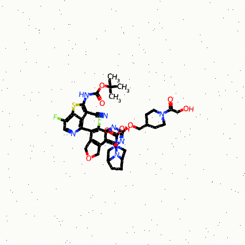 CC(C)(C)OC(=O)Nc1sc2c(F)cnc(-c3c4c(c5c(N6C7CCC6CN(C(=O)O)C7)nc(OCC6CCN(C(=O)CO)CC6)nc5c3F)COC4)c2c1C#N